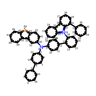 c1ccc(-c2ccc(N(c3ccc(-c4ccccc4-n4c5ccccc5c5cccc(-c6ccccc6)c54)cc3)c3ccc4sc5ccccc5c4c3)cc2)cc1